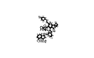 COc1cccc2c1CC[C@H]2Nc1nccc2cc(-c3c4c(nc(CCc5ccc(F)cc5)c3-c3n[nH]c(=O)o3)C35CC(CN3C4=O)C5)sc12